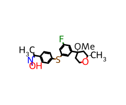 CO[C@@]1(c2cc(F)cc(Sc3ccc(/C(C)=N\O)cc3)c2)CCO[C@@H](C)C1